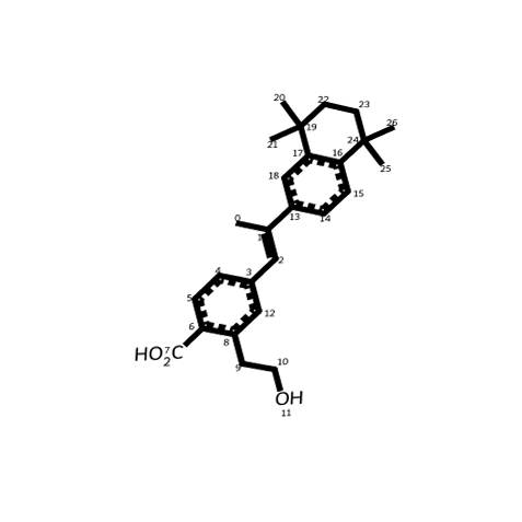 CC(=Cc1ccc(C(=O)O)c(CCO)c1)c1ccc2c(c1)C(C)(C)CCC2(C)C